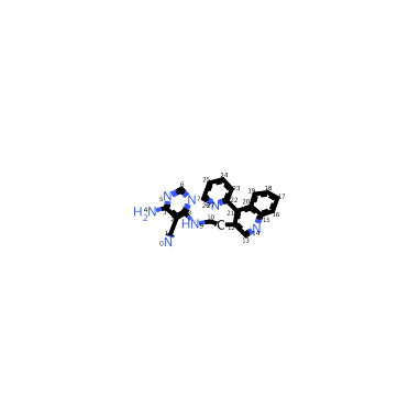 N#Cc1c(N)ncnc1NCCc1cnc2ccccc2c1-c1ccccn1